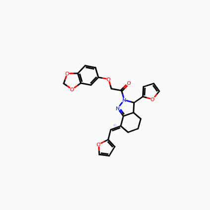 O=C(COc1ccc2c(c1)OCO2)N1N=C2/C(=C/c3ccco3)CCCC2C1c1ccco1